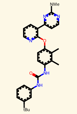 CNc1nccc(-c2cccnc2Oc2ccc(NC(=O)Nc3cccc(C(C)(C)C)c3)c(C)c2C)n1